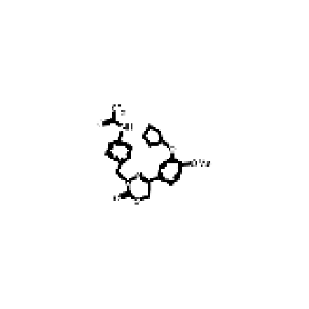 COc1ccc(C2=NN(Cc3ccc(NC(=O)C(F)(F)F)cc3)C(=O)SC2)cc1OC1CCCC1